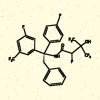 O=C(N[C@](Cc1ccccc1)(c1ccc(F)cc1)c1cc(F)cc(C(F)(F)F)c1)C(F)C(O)(C(F)(F)F)C(F)(F)F